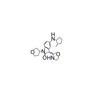 CC1CCCC1Nc1ccc2c(c1)/C(=C1\COCCN1)C(=O)N2C1CCOCC1